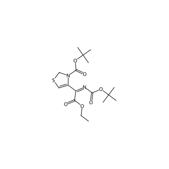 CCOC(=O)C(=NC(=O)OC(C)(C)C)C1=CSCN1C(=O)OC(C)(C)C